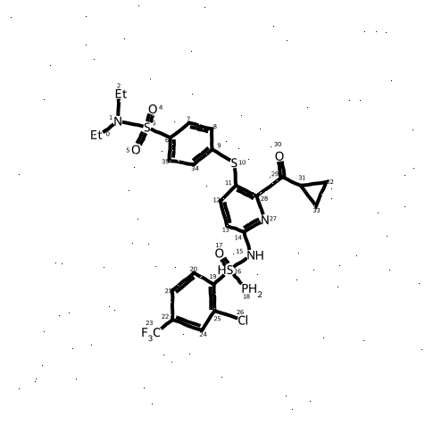 CCN(CC)S(=O)(=O)c1ccc(Sc2ccc(N[SH](=O)(P)c3ccc(C(F)(F)F)cc3Cl)nc2C(=O)C2CC2)cc1